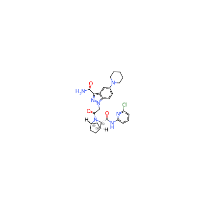 NC(=O)c1nn(CC(=O)N2[C@H]3CC[C@@H](C3)[C@H]2C(=O)Nc2cccc(Cl)n2)c2ccc(N3CCCCC3)cc12